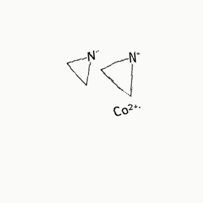 C1C[N-]1.C1C[N-]1.[Co+2]